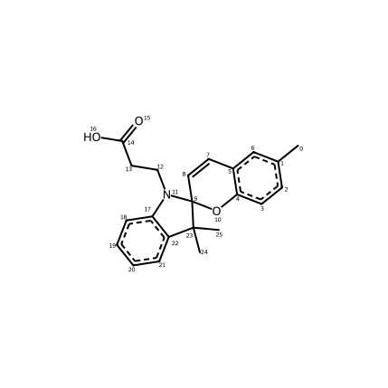 Cc1ccc2c(c1)C=CC1(O2)N(CCC(=O)O)c2ccccc2C1(C)C